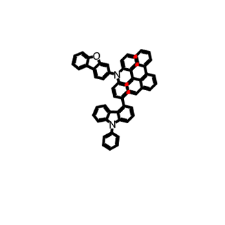 c1ccc(-c2cccc3cccc(-c4ccccc4N(c4ccc(-c5cccc6c5c5ccccc5n6-c5ccccc5)cc4)c4ccc5c(c4)oc4ccccc45)c23)cc1